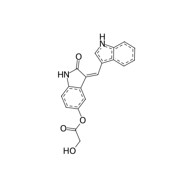 O=C(CO)Oc1ccc2c(c1)C(=Cc1c[nH]c3ccccc13)C(=O)N2